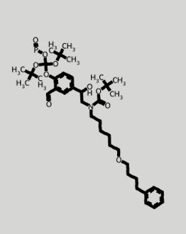 CC(C)(C)OC(=O)N(CCCCCCOCCCCc1ccccc1)CC(O)c1ccc(OC(OP=O)(OC(C)(C)C)OC(C)(C)C)c(C=O)c1